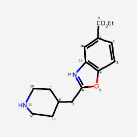 CCOC(=O)c1ccc2oc(CC3CCNCC3)nc2c1